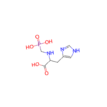 O=C(O)C(Cc1c[nH]cn1)NCP(=O)(O)O